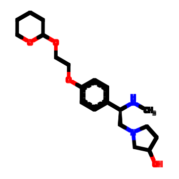 CN[C@@H](CN1CCC(O)C1)c1ccc(OCCOC2CCCCO2)cc1